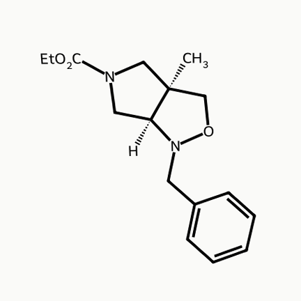 CCOC(=O)N1C[C@@H]2N(Cc3ccccc3)OC[C@]2(C)C1